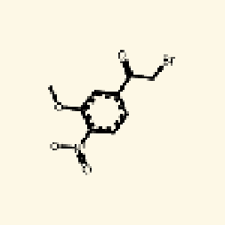 COc1cc(C(=O)CBr)ccc1[N+](=O)[O-]